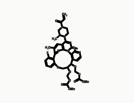 C=CC(=O)N1CCN(c2nc(=O)n3c4nc(c(C)cc24)-c2c(F)cccc2OCC(OCOC(=O)OC)C(OCOC(=O)OC)c2ccnc(C(C)C)c2-3)[C@@H](C)C1